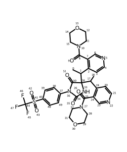 CC(c1ccncc1C(=O)N1CCOCC1)C1(C(C)c2ccncc2C(=O)N2CCOCC2)NC(=O)N(c2ccc(S(=O)(=O)C(F)(F)F)cc2)C1=O